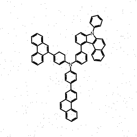 C1=C(c2cc3ccccc3c3ccccc23)CCC(N(c2ccc(-c3ccc4c(ccc5ccccc54)c3)cc2)c2cccc(-c3cccc4c3c3c5ccccc5ccc3n4-c3ccccc3)c2)=C1